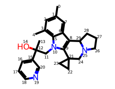 Cc1cc(C)c2c(c1)c1c(n2CC(C)(O)c2cccnc2)C2(CC2)CN2CCCC12